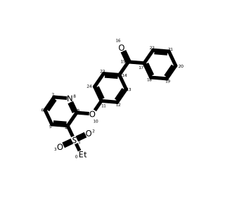 CCS(=O)(=O)c1cccnc1Oc1ccc(C(=O)c2ccccc2)cc1